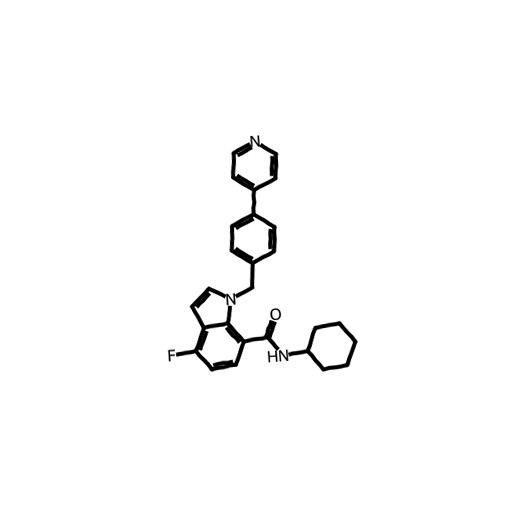 O=C(NC1CCCCC1)c1ccc(F)c2ccn(Cc3ccc(-c4ccncc4)cc3)c12